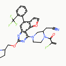 C=C(F)C(=O)N1CCN(c2nc(OCC3CCCN3C)nc3cc(-c4ccccc4C(F)(F)F)c4ccoc4c23)CC1CC#N